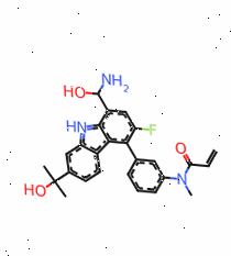 C=CC(=O)N(C)c1cccc(-c2c(F)cc(C(N)O)c3[nH]c4cc(C(C)(C)O)ccc4c23)c1